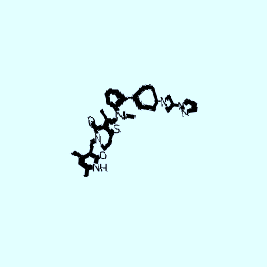 Cc1cc(C)c(CN2CCc3sc(N(C)c4ccccc4[C@H]4CC[C@H](N5CC(n6cccn6)C5)CC4)c(C)c3C2=O)c(=O)[nH]1